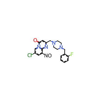 O=Nc1cc(Cl)cn2c(=O)cc(CN3CCN(Cc4ccccc4F)CC3)nc12